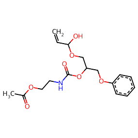 C=CC(O)OCC(COc1ccccc1)OC(=O)NCCOC(C)=O